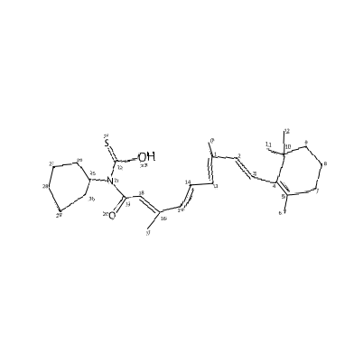 CC(C=CC1=C(C)CCCC1(C)C)=CC=CC(C)=CC(=O)N(C(O)=S)C1CCCCC1